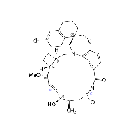 CO[C@H]1/C=C/[C@H](O)[C@H](C)C/[SH](=O)=N\C(=O)c2ccc3c(c2)N(C[C@@H]2CC[C@H]21)C[C@@]1(CCCc2cc(Cl)ccc21)CO3